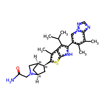 Cc1c(-c2[nH]c3sc([C@H]4C[C@@H]5C[C@H]4CN5CC(N)=O)c(C)c3c2C(C)C)cn2ncnc2c1C